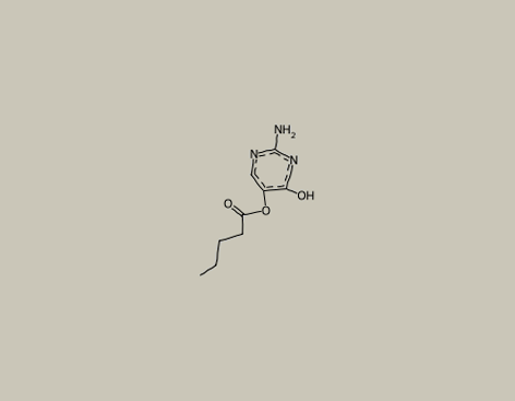 CCCCC(=O)Oc1cnc(N)nc1O